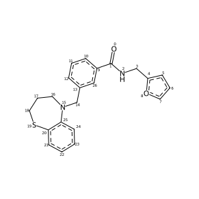 O=C(NCc1ccco1)c1cccc(CN2CCCSc3ccccc32)c1